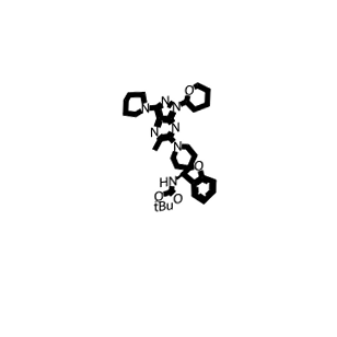 Cc1nc2c(N3CCCCC3)nn(C3CCCCO3)c2nc1N1CCC2(CC1)Oc1ccccc1[C@H]2NC(=O)OC(C)(C)C